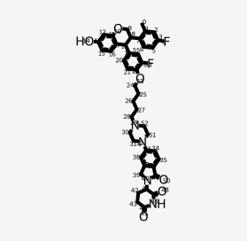 Cc1cc(F)ccc1C1COc2cc(O)ccc2C1c1ccc(OCCCCCN2CCN(c3ccc4c(c3)CN(C3CCC(=O)NC3=O)C4=O)CC2)c(F)c1